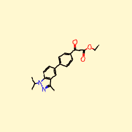 CCOC(=O)C(=O)c1ccc(-c2ccc3c(c2)c(C)nn3C(C)C)cc1